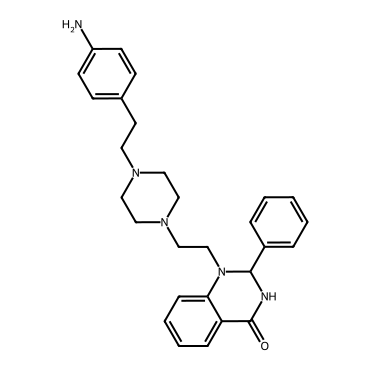 Nc1ccc(CCN2CCN(CCN3c4ccccc4C(=O)NC3c3ccccc3)CC2)cc1